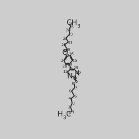 CCCCCCCCCSc1ncc(-c2ccc(OCCCCCCCC)cc2)cn1